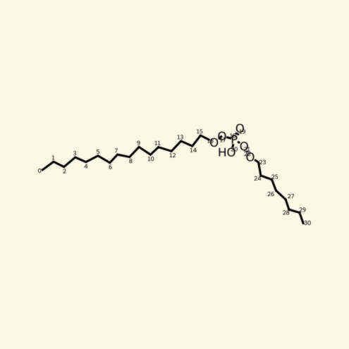 CCCCCCCCCCCCCCCCOOP(=O)(O)OOCCCCCCCC